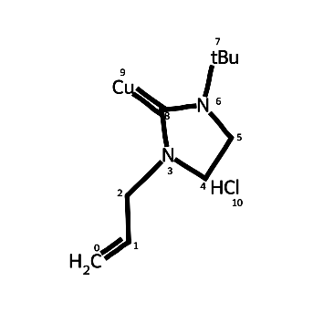 C=CCN1CCN(C(C)(C)C)[C]1=[Cu].Cl